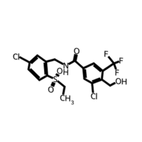 CCS(=O)(=O)c1ccc(Cl)cc1CNC(=O)c1cc(Cl)c(CO)c(C(F)(F)F)c1